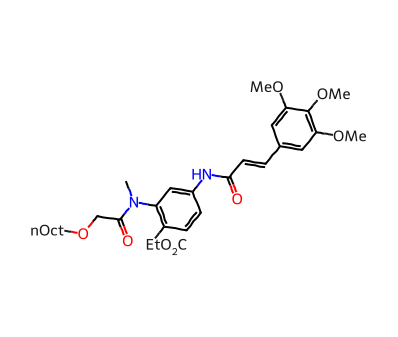 CCCCCCCCOCC(=O)N(C)c1cc(NC(=O)/C=C/c2cc(OC)c(OC)c(OC)c2)ccc1C(=O)OCC